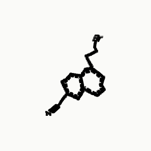 N#Cc1ccc2c(CCBr)cccc2c1